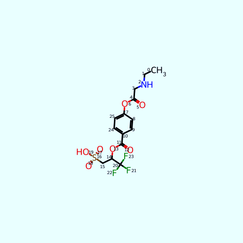 CCNCC(=O)Oc1ccc(C(=O)OC(CS(=O)(=O)O)C(F)(F)F)cc1